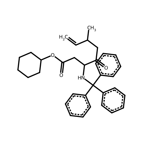 C=CC(C)CC(=O)C(CC(=O)OC1CCCCC1)NC(c1ccccc1)(c1ccccc1)c1ccccc1